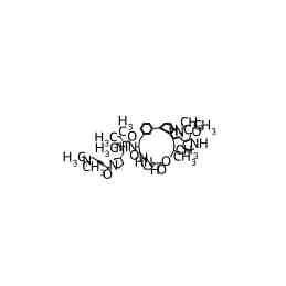 CCn1c(C2=C([C@H](C)OC)NCC=C2)c2c3cc(ccc31)-c1cccc(c1)CC(NC(=O)[C@H](C(C)C)N(C)C[C@H]1CCN(C(=O)C#CCN(C)C)C1)C(=O)N1CCC[C@H](N1)C(=O)OCC(C)(C)C2